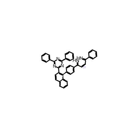 N=C(/C=C\C(=N)c1ccc(-c2c(-c3nc(-c4ccccc4)nc(-c4ccccc4)n3)ccc3ccccc23)cc1)c1ccccc1